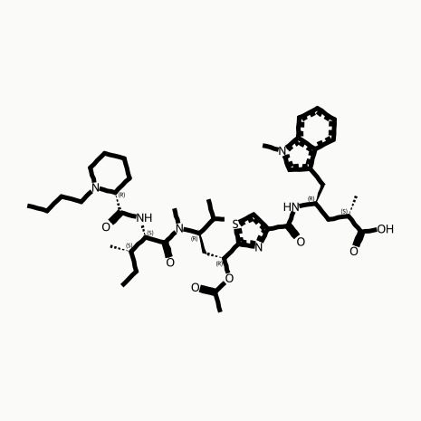 CCCCN1CCCC[C@@H]1C(=O)N[C@H](C(=O)N(C)[C@H](C[C@@H](OC(C)=O)c1nc(C(=O)N[C@@H](Cc2cn(C)c3ccccc23)C[C@H](C)C(=O)O)cs1)C(C)C)[C@@H](C)CC